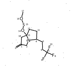 C=C1CN2C(CCC(F)(F)F)CCC2(OSOC)C1